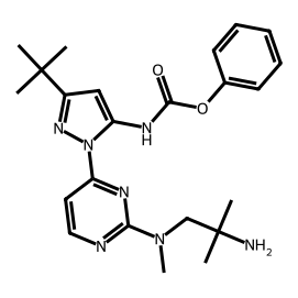 CN(CC(C)(C)N)c1nccc(-n2nc(C(C)(C)C)cc2NC(=O)Oc2ccccc2)n1